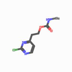 CC(C)(C)NC(=O)OCCc1ccnc(Cl)n1